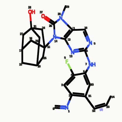 C=Nc1cc(F)c(Nc2ncc3c(n2)n(C24CC5CC(CC(O)(C5)C2)C4)c(=O)n3C)cc1/C=C\C